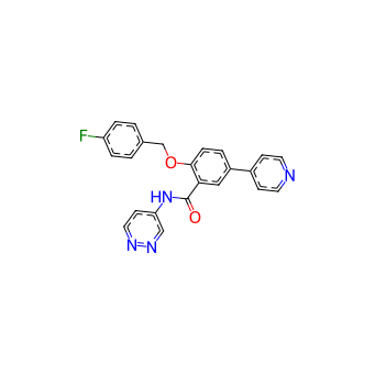 O=C(Nc1ccnnc1)c1cc(-c2ccncc2)ccc1OCc1ccc(F)cc1